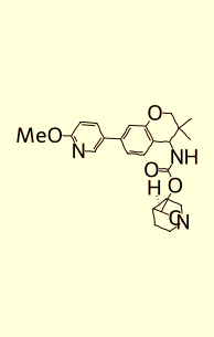 COc1ccc(-c2ccc3c(c2)OCC(C)(C)C3NC(=O)O[C@H]2CN3CCC2CC3)cn1